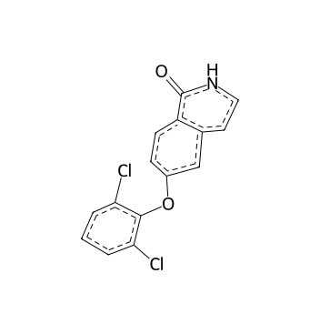 O=c1[nH]ccc2cc(Oc3c(Cl)cccc3Cl)ccc12